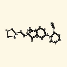 N#Cc1ccccc1-c1ccc2[nH]c(/C=C/C3CCCC3)nc2c1